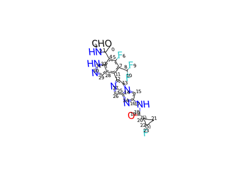 CC(NC=O)c1c(F)c(C(F)F)c(-c2cn3cc(NC(=O)[C@@H]4C[C@@H]4F)nc3cn2)c2cn[nH]c12